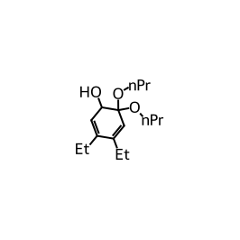 CCCOC1(OCCC)C=C(CC)C(CC)=CC1O